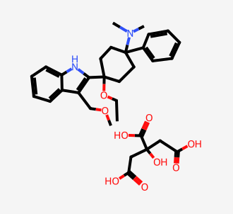 CCOC1(c2[nH]c3ccccc3c2COC)CCC(c2ccccc2)(N(C)C)CC1.O=C(O)CC(O)(CC(=O)O)C(=O)O